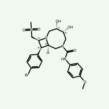 COc1ccc(NC(=O)N2C[C@@H](O)[C@@H](O)CN3[C@H](CS(C)(=O)=O)[C@H](c4ccc(Br)cc4)[C@@H]3C2)cc1